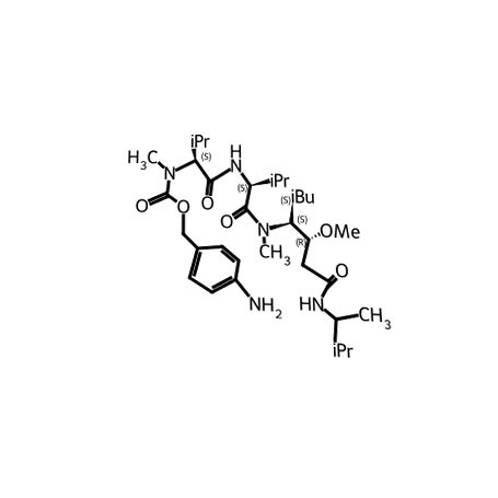 CC[C@H](C)[C@@H]([C@@H](CC(=O)NC(C)C(C)C)OC)N(C)C(=O)[C@@H](NC(=O)[C@H](C(C)C)N(C)C(=O)OCc1ccc(N)cc1)C(C)C